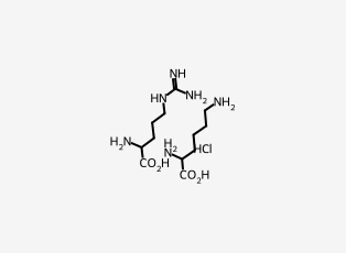 Cl.N=C(N)NCCCC(N)C(=O)O.NCCCCC(N)C(=O)O